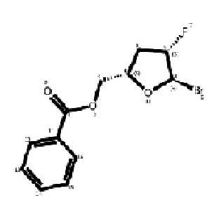 O=C(OC[C@@H]1C[C@H](F)[C@@H](Br)O1)c1ccccc1